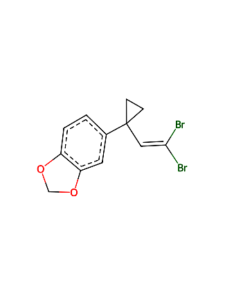 BrC(Br)=CC1(c2ccc3c(c2)OCO3)CC1